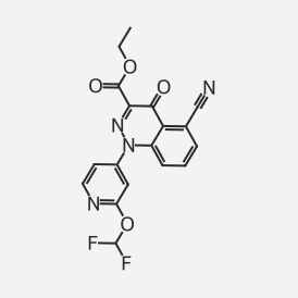 CCOC(=O)c1nn(-c2ccnc(OC(F)F)c2)c2cccc(C#N)c2c1=O